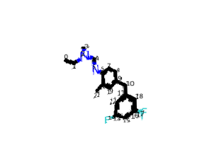 CCN(C)C=Nc1ccc(Cc2cc(F)cc(F)c2)cc1C